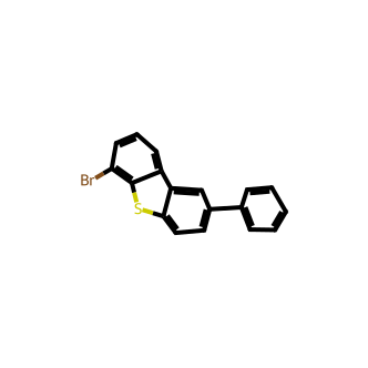 Brc1cccc2c1sc1ccc(-c3ccccc3)cc12